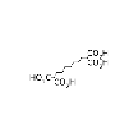 O=C(O)C(CCCCCCCC(C(=O)O)C(=O)O)C(=O)O